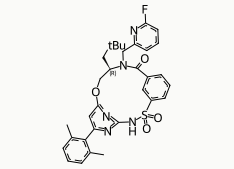 Cc1cccc(C)c1-c1cc2nc(n1)NS(=O)(=O)c1cccc(c1)C(=O)N(Cc1cccc(F)n1)[C@H](CC(C)(C)C)CO2